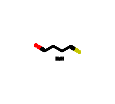 O=CCCC=S.[NaH]